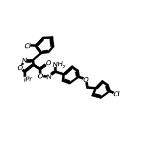 CC(C)c1onc(-c2ccccc2Cl)c1C(=O)O/N=C(\N)c1ccc(OCc2ccc(Cl)cc2)cc1